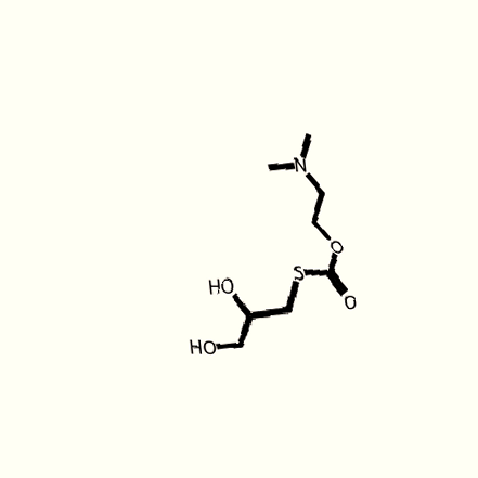 CN(C)CCOC(=O)SCC(O)CO